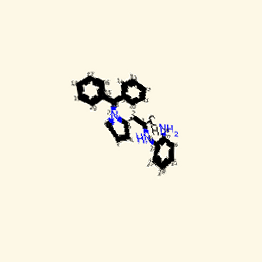 C[C@@H](C[C@@H]1CCCN1C(c1ccccc1)c1ccccc1)Nc1ccccc1N